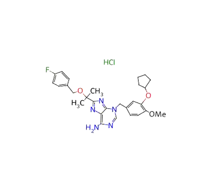 COc1ccc(Cn2cnc(N)c3nc(C(C)(C)OCc4ccc(F)cc4)nc2-3)cc1OC1CCCC1.Cl